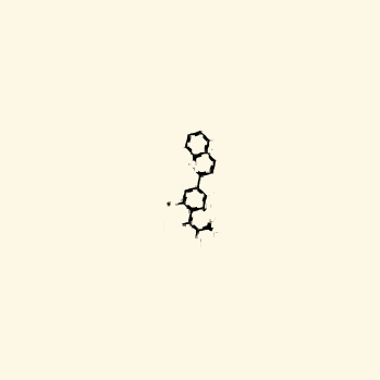 COc1cc(-c2ccc3ccccc3n2)cc2oc(=O)c(C)c(C)c12